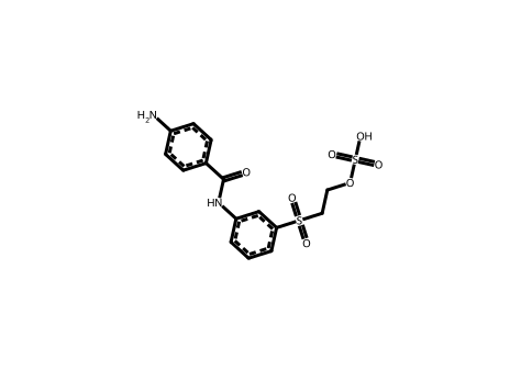 Nc1ccc(C(=O)Nc2cccc(S(=O)(=O)CCOS(=O)(=O)O)c2)cc1